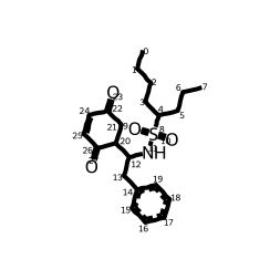 CCCCC(CCC)S(=O)(=O)NC(Cc1ccccc1)C1CC(=O)C=CC1=O